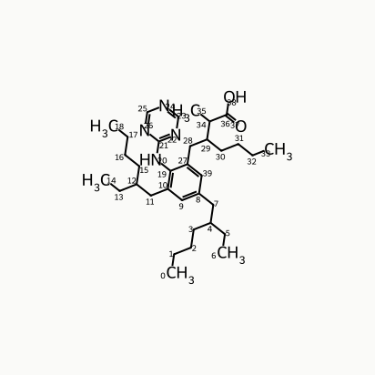 CCCCC(CC)Cc1cc(CC(CC)CCCC)c(Nc2ncncn2)c(CC(CCCC)C(C)C(=O)O)c1